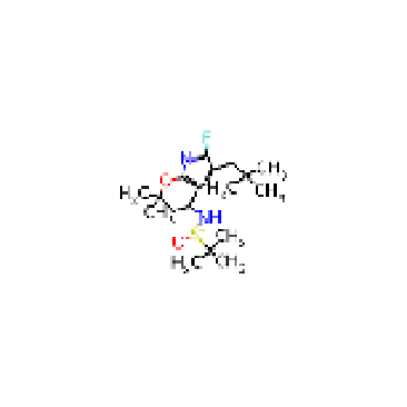 CC(C)(C)Cc1cc2c(nc1F)OC(C)(C)C[C@@H]2N[S+]([O-])C(C)(C)C